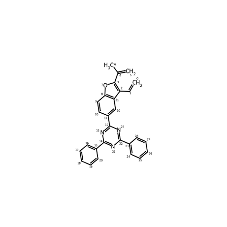 C=Cc1c(C(=C)C)oc2ccc(-c3nc(-c4ccccc4)nc(-c4ccccc4)n3)cc12